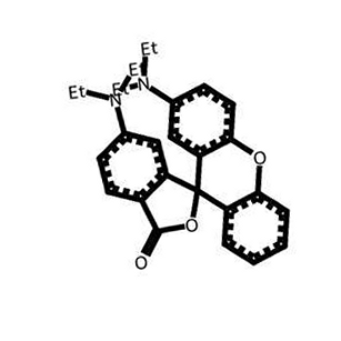 CCN(CC)c1ccc2c(c1)C1(OC(=O)c3ccc(N(CC)CC)cc31)c1ccccc1O2